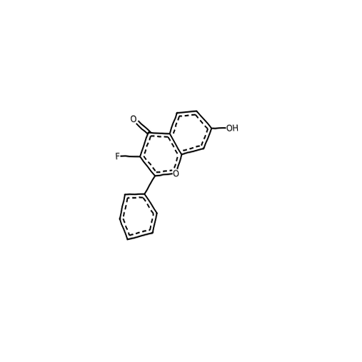 O=c1c(F)c(-c2ccccc2)oc2cc(O)ccc12